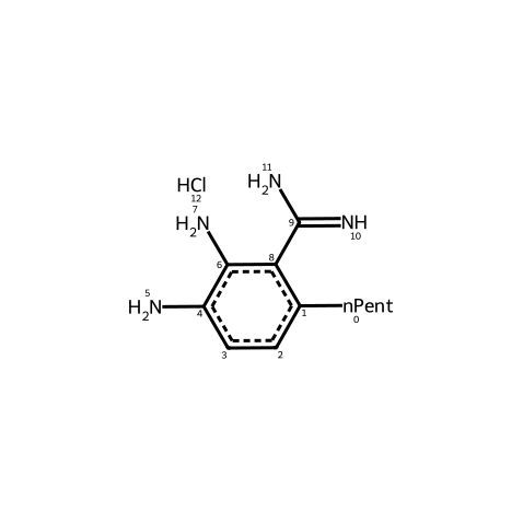 CCCCCc1ccc(N)c(N)c1C(=N)N.Cl